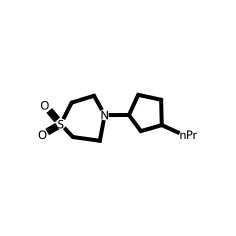 CCCC1CCC(N2CCS(=O)(=O)CC2)C1